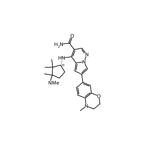 CNC1(C)CC[C@@H](Nc2c(C(N)=O)cnn3cc(-c4ccc5c(c4)OCCN5C)cc23)C1(C)C